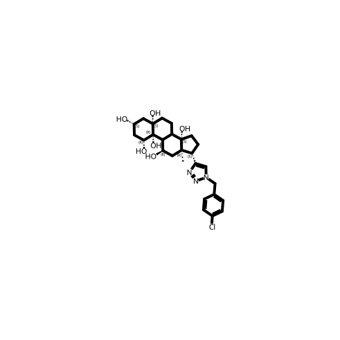 C[C@]12C[C@@H](O)C3C(CC[C@]4(O)C[C@@H](O)C[C@@H](O)[C@]34O)[C@@]1(O)CC[C@@H]2c1cn(Cc2ccc(Cl)cc2)nn1